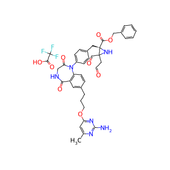 Cc1cc(OCCCc2ccc3c(c2)C(=O)NCC(=O)N3c2ccc(C[C@@]3(C(=O)OCc4ccccc4)NC3(C=O)CC=O)cc2)nc(N)n1.O=C(O)C(F)(F)F